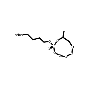 CCCCCCCCCCCCCOP1(=O)OOOOOCC(C)O1